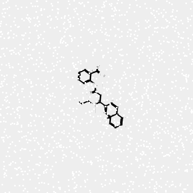 CCCNC(CC(=O)Nc1ccccc1C(=O)O)C1=CC2(C)C=CC=CC2C=C1